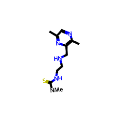 CNC(=S)NCCNCc1nc(C)cnc1C